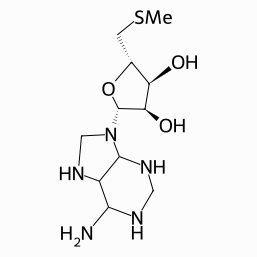 CSC[C@H]1O[C@@H](N2CNC3C(N)NCNC32)[C@H](O)[C@@H]1O